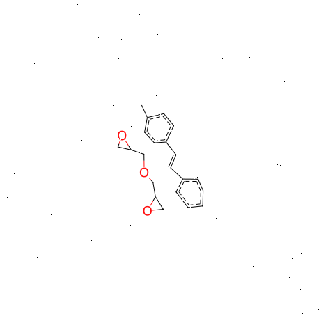 C(OCC1CO1)C1CO1.Cc1ccc(C=Cc2ccccc2)cc1